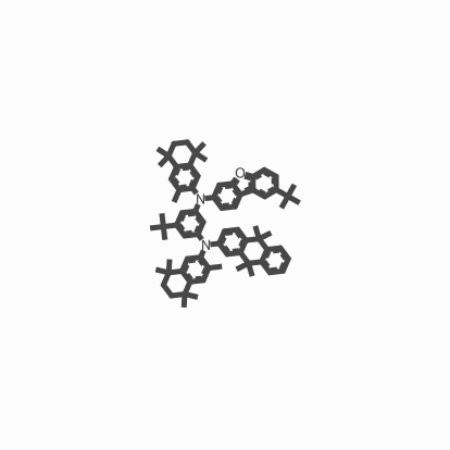 Cc1cc2c(cc1N(c1cc(N(c3ccc4c(c3)oc3ccc(C(C)(C)C)cc34)c3cc4c(cc3C)C(C)(C)CCC4(C)C)cc(C(C)(C)C)c1)c1ccc3c(c1)C(C)(C)c1ccccc1C3(C)C)C(C)(C)CCC2(C)C